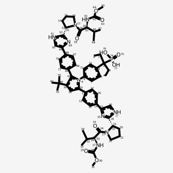 CCC(CC)(c1ccc(-n2c(-c3ccc(-c4c[nH]c([C@@H]5CCCN5C(=O)[C@@H](NC(=O)OC)C(C)C)n4)cc3)cc(C(C)(C)C)c2-c2ccc(-c3c[nH]c([C@@H]4CCCN4C(=O)[C@@H](NC(=O)OC)C(C)C)n3)cc2)cc1)P(=O)(O)O